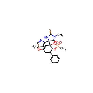 COC1=CC(OS(C)(=O)=O)(C2(c3cscn3)NC(=S)N(C)C2=O)CC(c2ccccc2)=C1